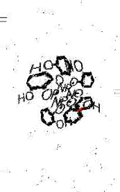 Oc1ccccc1ON1P(Oc2ccccc2O)N=P(Oc2ccccc2O)(Oc2ccccc2O)N(Oc2ccccc2)P1Oc1ccccc1O